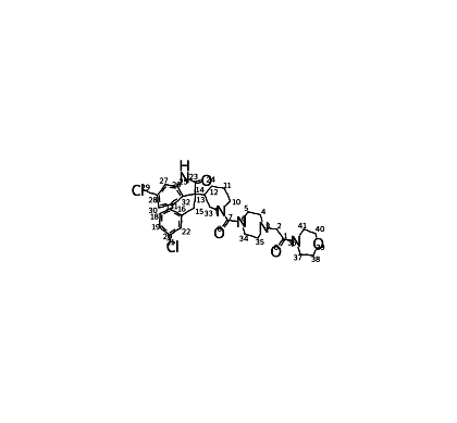 O=C(CN1CCN(C(=O)N2CCCC(C3(Cc4cccc(Cl)c4)C(=O)Nc4cc(Cl)ccc43)C2)CC1)N1CCOCC1